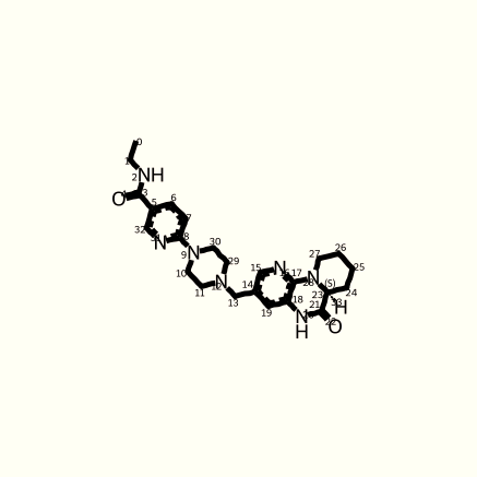 CCNC(=O)c1ccc(N2CCN(Cc3cnc4c(c3)NC(=O)[C@@H]3CCCCN43)CC2)nc1